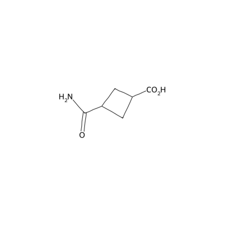 NC(=O)C1CC(C(=O)O)C1